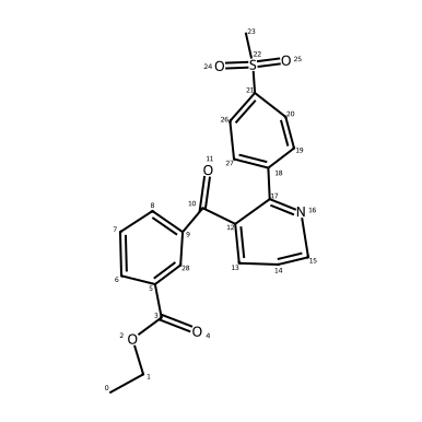 CCOC(=O)c1cccc(C(=O)c2cccnc2-c2ccc(S(C)(=O)=O)cc2)c1